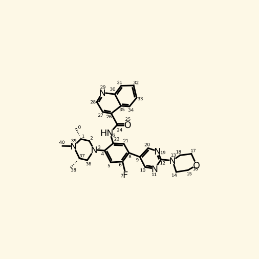 C[C@@H]1CN(c2cc(F)c(-c3cnc(N4CCOCC4)nc3)cc2NC(=O)c2ccnc3ccccc23)C[C@H](C)N1C